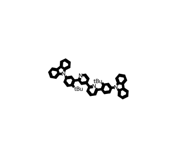 CC(C)(C)c1ccc(-n2c3ccccc3c3ccccc32)cc1-c1cc(-c2cccc(-c3ccc(-n4c5ccccc5c5ccccc54)cc3C(C)(C)C)n2)ccn1